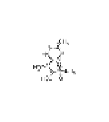 Cc1cnc([C@H](C)[C@H](C)S(C)(=O)=O)nc1